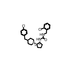 O=C(NCc1ccccc1Cl)N[C@@H]1CCC[C@H]1N1CCC(Cc2ccc(Cl)cc2)CC1